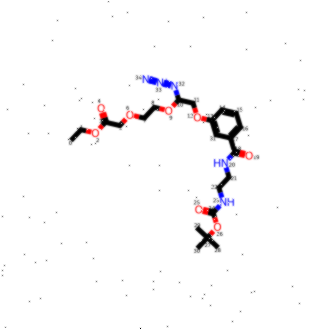 CCOC(=O)COCCOC(COc1cccc(C(=O)NCCNC(=O)OC(C)(C)C)c1)N=[N+]=[N-]